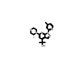 Cc1ccnc(-n2ncc3c(C(C)(C)O)cc(N4CCOC[C@H]4C)nc32)c1